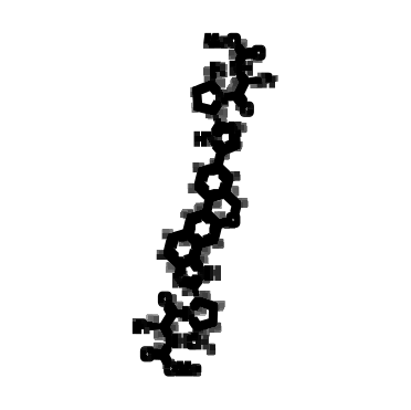 CC[C@H]1CC[C@@H](c2ncc(-c3ccc4c(c3)COc3cc5c(ccc6nc([C@@H]7CC[C@H](C)N7C(=O)[C@@H](NC(=O)OC)C(C)C)[nH]c65)cc3-4)[nH]2)N1C(=O)[C@@H](NC(=O)OC)C(C)C